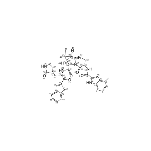 Cc1cccc2[nH]c(C(=O)N[C@@H](CC(C)C)C(=O)N3C[C@H]4[C@@H]([C@H]3C(=O)N[C@@H](C[C@@H]3CCNC3=O)C(=O)c3cc5ccccc5s3)C4(C)C)cc12